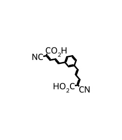 N#CC(=CC=Cc1cccc(C=CC=C(C#N)C(=O)O)c1)C(=O)O